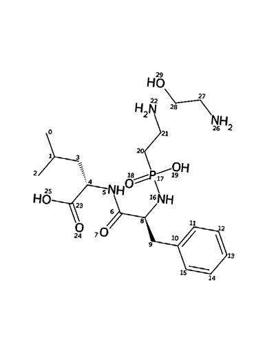 CC(C)C[C@H](NC(=O)[C@H](Cc1ccccc1)NP(=O)(O)CCN)C(=O)O.NCCO